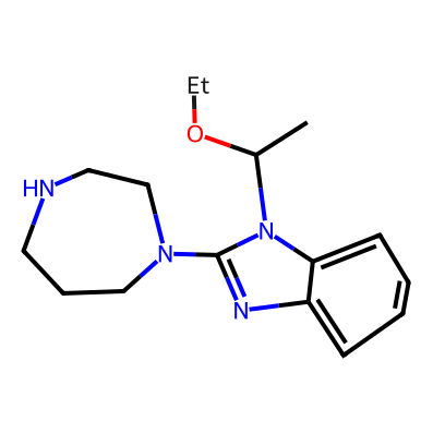 CCOC(C)n1c(N2CCCNCC2)nc2ccccc21